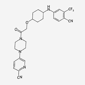 N#Cc1ccc(N2CCN(C(=O)COC3CCC(Nc4ccc(C#N)c(C(F)(F)F)c4)CC3)CC2)cn1